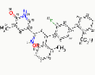 Cc1ccccc1C(C/C(=N\O)c1c[nH]c(=O)c(C)c1)c1ccc(-c2ccccc2C(=O)O)cc1F